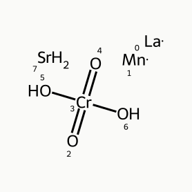 [La].[Mn].[O]=[Cr](=[O])([OH])[OH].[SrH2]